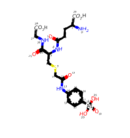 NC(CCC(=O)NC(CSCC(=O)Nc1ccc([As](=O)(O)O)cc1)C(=O)NCC(=O)O)C(=O)O